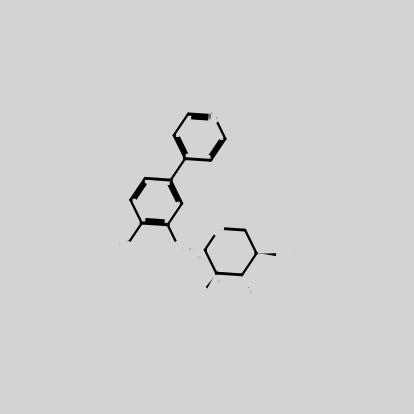 O[C@@H]1[C@@H](O)[C@H](Oc2cc(-c3ccncc3)ccc2Cl)SC[C@H]1O